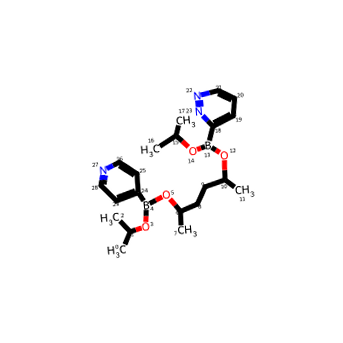 CC(C)OB(OC(C)CCC(C)OB(OC(C)C)c1cccnn1)c1ccncc1